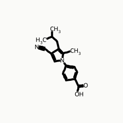 Cc1c(CC(C)C)c(C#N)cn1-c1ccc(C(=O)O)cc1